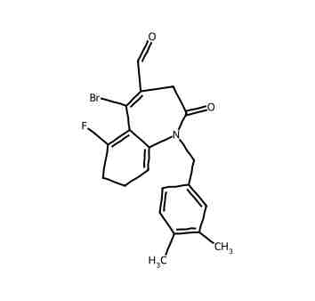 Cc1ccc(CN2C(=O)CC(C=O)=C(Br)C3=C(F)CCC=C32)cc1C